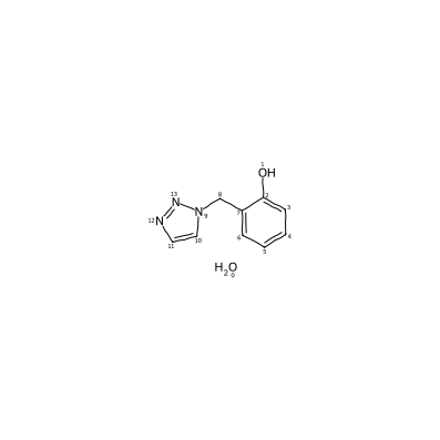 O.Oc1ccccc1Cn1ccnn1